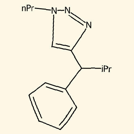 CCCn1cc(C(c2ccccc2)C(C)C)nn1